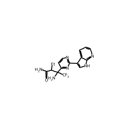 CCC(C(N)=O)C(N)(c1ccnc(-c2c[nH]c3ncccc23)n1)C(F)(F)F